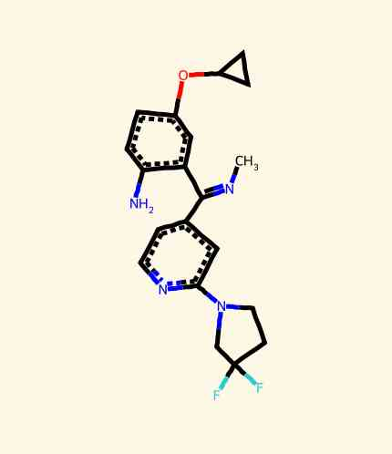 C/N=C(/c1ccnc(N2CCC(F)(F)C2)c1)c1cc(OC2CC2)ccc1N